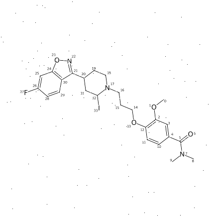 COc1cc(C(=O)N(C)C)ccc1OCCCN1CCC(c2noc3cc(F)ccc23)CC1I